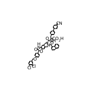 N#Cc1ccc(-c2ccc(C[C@H](NC(=O)[C@@H]3Cc4cc5c(cc4CN3C(=O)c3cccc4ccccc34)OC(c3ccc(OCc4ccc(Cl)c(Cl)c4)cc3)C(=O)N5)C(=O)O)cc2)cc1